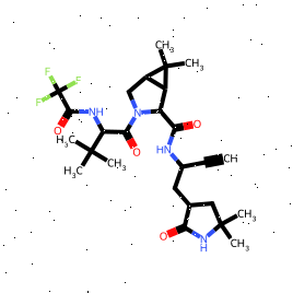 C#CC(CC1CC(C)(C)NC1=O)NC(=O)C1C2C(CN1C(=O)C(NC(=O)C(F)(F)F)C(C)(C)C)C2(C)C